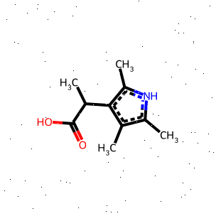 Cc1[nH]c(C)c(C(C)C(=O)O)c1C